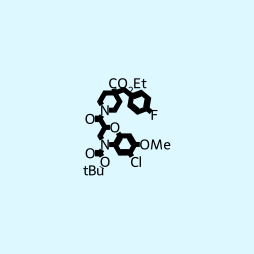 CCOC(=O)C1(Cc2ccc(F)cc2)CCN(C(=O)C2CN(C(=O)OC(C)(C)C)c3cc(Cl)c(OC)cc3O2)CC1